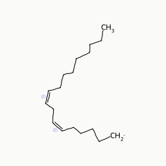 [CH2]CCCC/C=C\C/C=C\CCCCCCCC